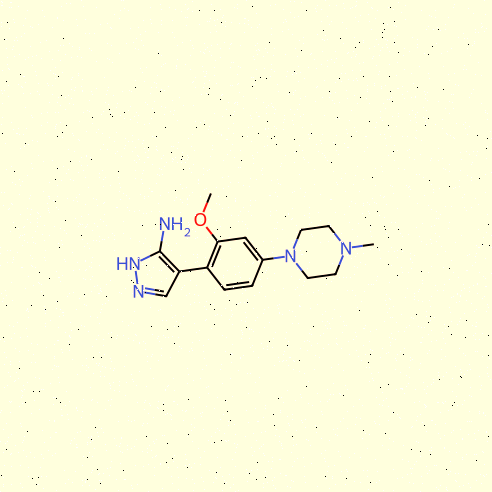 COc1cc(N2CCN(C)CC2)ccc1-c1cn[nH]c1N